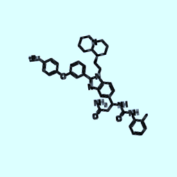 Cc1ccccc1NC(=O)NC(CC(N)=O)c1ccc2c(c1)nc(-c1cccc(Oc3ccc(C(C)(C)C)cc3)c1)n2CC[C@@H]1CCCN2CCCCC12